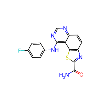 NC(=O)c1nc2ccc3ncnc(Nc4ccc(F)cc4)c3c2s1